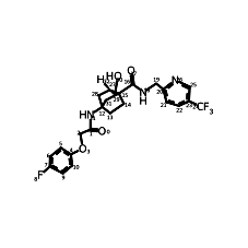 O=C(COc1ccc(F)cc1)NC12CCC(C(=O)NCc3ccc(C(F)(F)F)cn3)(CC1)[C@@H](O)C2